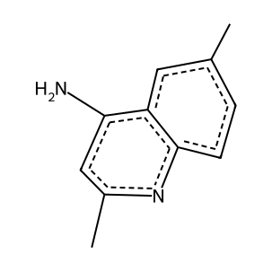 Cc1ccc2nc(C)cc(N)c2c1